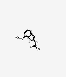 COc1cccc2cc(OC(=O)O)oc12